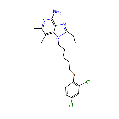 CCc1nc2c(N)nc(C)c(C)c2n1CCCCCSc1ccc(Cl)cc1Cl